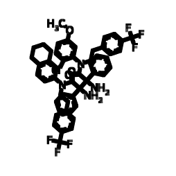 COc1ccc(Cl)c(N(CCc2ccc(C(F)(F)F)cc2)C(=O)C(N)(c2ccccc2)C(N)(C(=O)N(CCc2ccc(C(F)(F)F)cc2)c2ccc3c(c2)CCCC3)c2ccccc2)c1